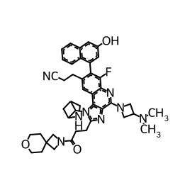 CN(C)C1CN(c2nc3c(F)c(-c4cc(O)cc5ccccc45)c(CCC#N)cc3c3c2nc(CCC(=O)N2CC4(CCOCC4)C2)n3C2C3CNC2C3)C1